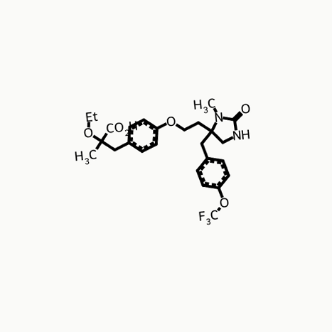 CCOC(C)(Cc1ccc(OCCC2(Cc3ccc(OC(F)(F)F)cc3)CNC(=O)N2C)cc1)C(=O)O